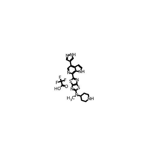 CN(c1nc2sc(-c3ncc(-c4cn[nH]c4)c4cc[nH]c34)nc2s1)C1CCNCC1.O=C(O)C(F)(F)F